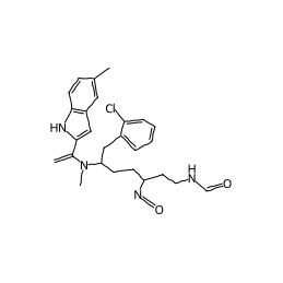 C=C(c1cc2cc(C)ccc2[nH]1)N(C)C(CCC(CCNC=O)N=O)Cc1ccccc1Cl